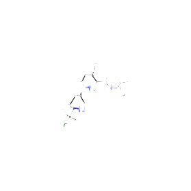 CC(C)[C@H](C)NCc1nc(-c2ccc(C(F)(F)F)nc2)ccc1F